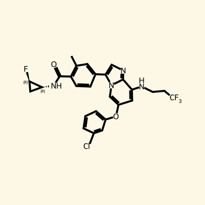 Cc1cc(-c2cnc3c(NCCC(F)(F)F)cc(Oc4cccc(Cl)c4)cn23)ccc1C(=O)N[C@@H]1C[C@H]1F